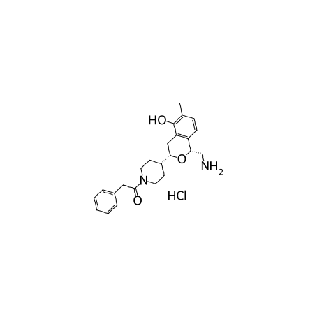 Cc1ccc2c(c1O)C[C@@H](C1CCN(C(=O)Cc3ccccc3)CC1)O[C@H]2CN.Cl